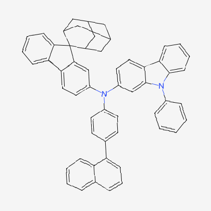 c1ccc(-n2c3ccccc3c3ccc(N(c4ccc(-c5cccc6ccccc56)cc4)c4ccc5c(c4)C4(c6ccccc6-5)C5CC6CC(C5)CC4C6)cc32)cc1